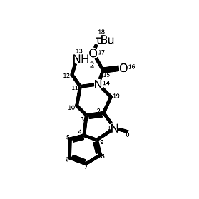 Cn1c2c(c3ccccc31)CC(CN)N(C(=O)OC(C)(C)C)C2